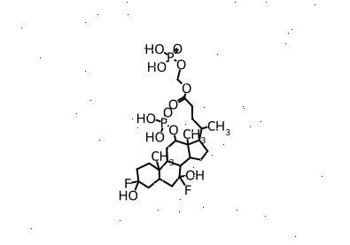 CC(CCC(=O)OCOP(=O)(O)O)C1CCC2C3C(CC(OP(=O)(O)O)C12C)C1(C)CCC(O)(F)CC1CC3(O)F